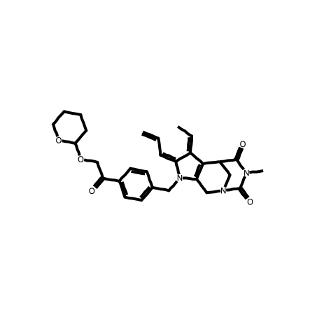 C=C/C=c1\c(=C/C)c2c(n1Cc1ccc(C(=O)COC3CCCCO3)cc1)CN1CC2C(=O)N(C)C1=O